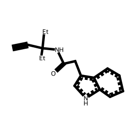 C#CC(CC)(CC)NC(=O)Cc1c[nH]c2ccccc12